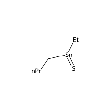 CCC[CH2][Sn](=[S])[CH2]C